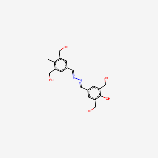 Cc1c(CO)cc(C=NN=Cc2cc(CO)c(O)c(CO)c2)cc1CO